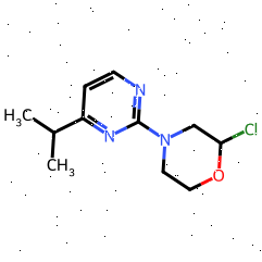 CC(C)c1ccnc(N2CCOC(Cl)C2)n1